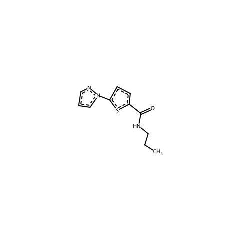 CCCNC(=O)c1ccc(-n2cccn2)s1